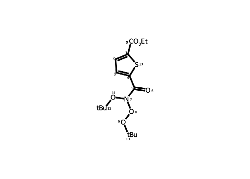 CCOC(=O)c1ccc(C(=O)N(OOC(C)(C)C)OC(C)(C)C)s1